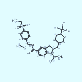 CCS(=O)(=O)c1ccc([C@@H](CO)NC(=O)c2cnc3c(c2)CN(CC2CCC(C(F)(F)F)CC2)[C@H]3C(C)C)nc1